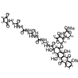 COc1cccc2c1C(=O)c1c(O)c3c(c(O)c1C2=O)C[C@@](O)(C(=O)NCCNC(=O)NNC(=O)CNC(=O)CNC(=O)CCN1C(=O)C=CC1=O)C[C@@H]3OC1C[C@H](N2CCO[C@H](OC)C2)[C@H](O)[C@H](C)O1